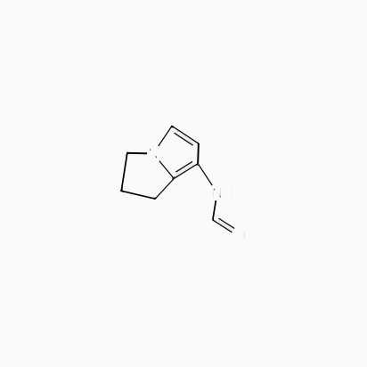 O=CNc1ccn2c1CCC2